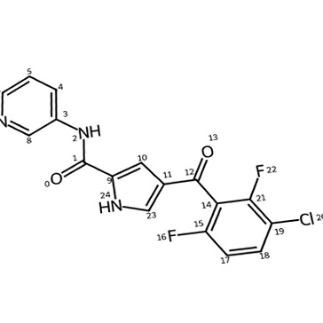 O=C(Nc1cccnc1)c1cc(C(=O)c2c(F)ccc(Cl)c2F)c[nH]1